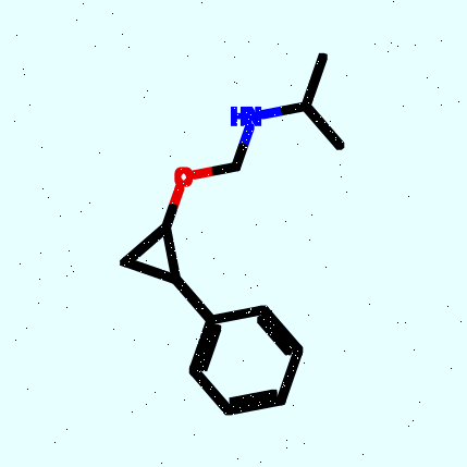 CC(C)NCOC1CC1c1ccccc1